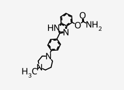 CN1CCCN(c2ccc(-c3nc4c(OC(N)=O)cccc4[nH]3)cc2)CC1